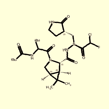 CCC(C)C(NC(=O)C(C)(C)C)C(=O)N1C[C@H]2[C@@H]([C@H]1C(=O)NN(C[C@@H]1CCNC1=O)C(=O)C(F)Cl)C2(C)C